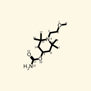 COCCN1C(C)(C)CC(OC(N)=O)CC1(C)C